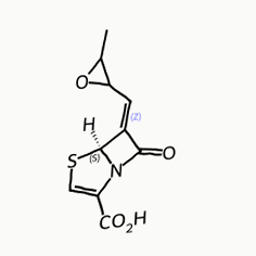 CC1OC1/C=C1/C(=O)N2C(C(=O)O)=CS[C@@H]12